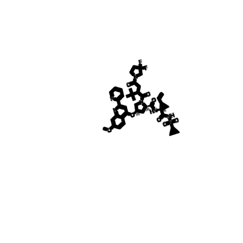 C=CC1C[C@]1(NC(=O)[C@@H]1C[C@@H](Oc2cc(-c3ccccn3)nc3cc(OC)ccc23)CN1C(=O)C(CC(=O)N1CCC(F)(F)C1)C(C)(C)C)C(=O)NS(=O)(=O)C1CC1